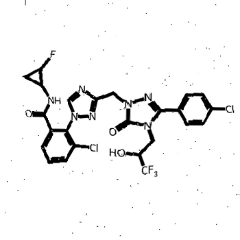 O=C(NC1CC1F)c1cccc(Cl)c1-n1cnc(Cn2nc(-c3ccc(Cl)cc3)n(CC(O)C(F)(F)F)c2=O)n1